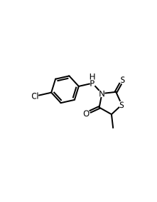 CC1SC(=S)N(Pc2ccc(Cl)cc2)C1=O